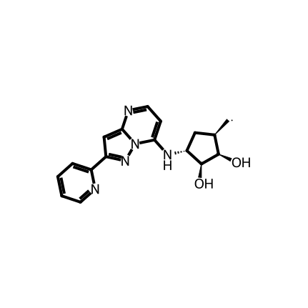 [CH2][C@@H]1C[C@@H](Nc2ccnc3cc(-c4ccccn4)nn23)[C@H](O)[C@@H]1O